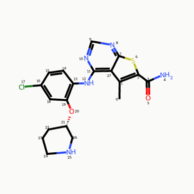 Cc1c(C(N)=O)sc2ncnc(Nc3ccc(Cl)cc3O[C@H]3CCCNC3)c12